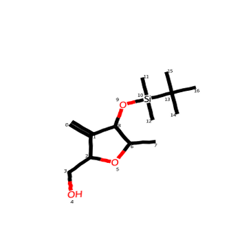 C=C1C(CO)OC(C)C1O[Si](C)(C)C(C)(C)C